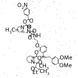 CCC(C)(C)C(=O)C(=O)N1CCCC[C@H]1C(=O)O[C@H](CCc1ccc(OC)c(OC)c1)c1cccc(OCCNS(=O)(=O)NC[C@@H]2C[C@H](C)CN2C(=O)OC(=O)c2ccc([N+](=O)[O-])cc2)c1